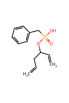 C=CCC(C=C)OP(=O)(O)Cc1ccccc1